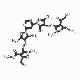 COC(=O)c1c(CS)nn(C)c1/N=N/c1c(C)nn(-c2cc(-n3nc(C)c(/N=N/c4c(C(=O)CO)c(SC)nn4C)c3N)ncn2)c1N